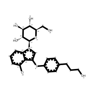 OCCCc1ccc(Sc2cn([C@@H]3O[C@H](CO)[C@@H](O)[C@H](O)[C@H]3O)c3cccc(Cl)c23)cc1